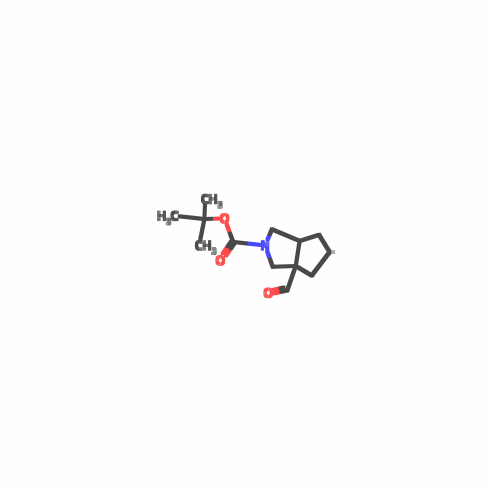 CC(C)(C)OC(=O)N1CC2C[CH]CC2(C=O)C1